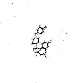 CN1Cc2cc(Cl)ccc2-n2c(nnc2[C@H]2CC[C@H](Oc3ccc(F)cc3)CC2)C1